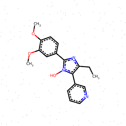 CCc1nc(-c2ccc(OC)c(OC)c2)n(O)c1-c1cccnc1